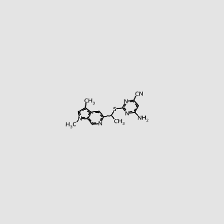 Cc1cn(C)c2cnc(C(C)Sc3nc(N)cc(C#N)n3)cc12